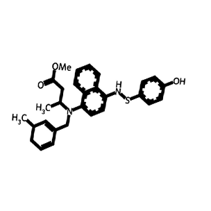 COC(=O)CC(C)N(CC1=CC(C)CC=C1)c1ccc(NSc2ccc(O)cc2)c2ccccc12